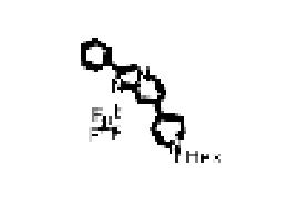 CCCCCC[n+]1ccc(-c2ccn3cc(-c4ccccc4)nc3c2)cc1.F[B-](F)(F)F